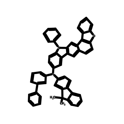 CC1(C)c2ccccc2-c2ccc(N(c3cccc(-c4ccccc4)c3)c3ccc4c(c3)c3cc5ccc6oc7ccccc7c6c5cc3n4-c3ccccc3)cc21